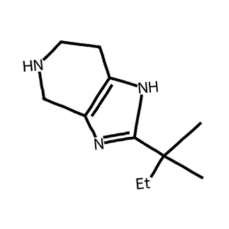 CCC(C)(C)c1nc2c([nH]1)CCNC2